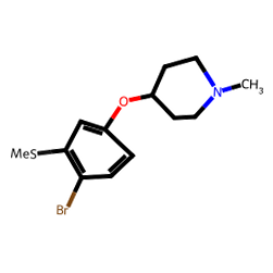 CSc1cc(OC2CCN(C)CC2)ccc1Br